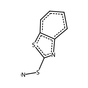 [N]Sc1nc2ccccc2s1